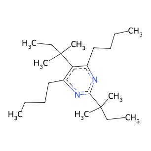 CCCCc1nc(C(C)(C)CC)nc(CCCC)c1C(C)(C)CC